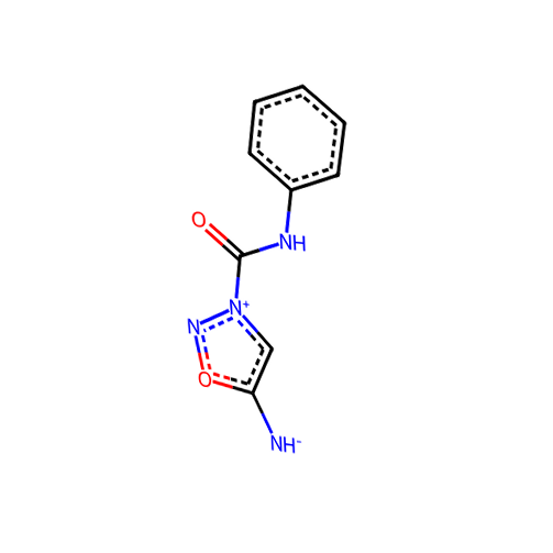 [NH-]c1c[n+](C(=O)Nc2ccccc2)no1